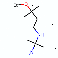 CCOC(C)(C)CCNC(C)(C)N